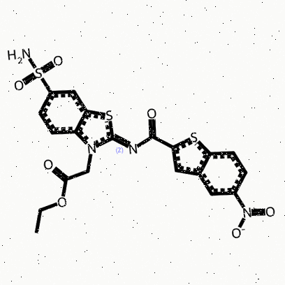 CCOC(=O)Cn1/c(=N/C(=O)c2cc3cc([N+](=O)[O-])ccc3s2)sc2cc(S(N)(=O)=O)ccc21